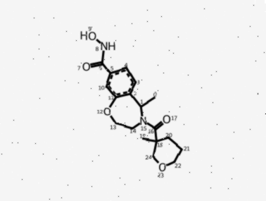 CC1c2ccc(C(=O)NO)cc2OCCN1C(=O)C1(C)CCCOC1